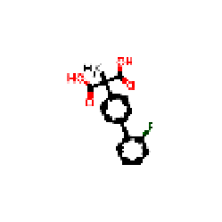 CC(C(=O)O)(C(=O)O)c1ccc(-c2ccccc2F)cc1